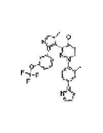 Cc1cc(-n2cccn2)ccc1-n1ccc(=O)c(-c2c(C)cnn2-c2cccc(OC(F)(F)F)c2)n1